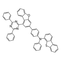 c1ccc(-c2nc(-c3ccccc3)nc(-c3cc(-c4ccc(N(c5ccccc5)c5cccc6c5sc5ccccc56)cc4)cc4oc5ccccc5c34)n2)cc1